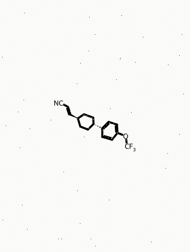 N#CC=C[C@H]1CC[C@H](c2ccc(OC(F)(F)F)cc2)CC1